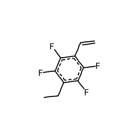 C=Cc1c(F)c(F)c(CC)c(F)c1F